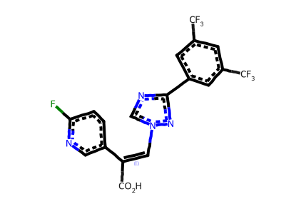 O=C(O)/C(=C/n1cnc(-c2cc(C(F)(F)F)cc(C(F)(F)F)c2)n1)c1ccc(F)nc1